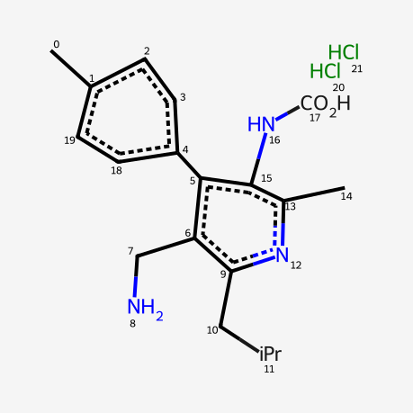 Cc1ccc(-c2c(CN)c(CC(C)C)nc(C)c2NC(=O)O)cc1.Cl.Cl